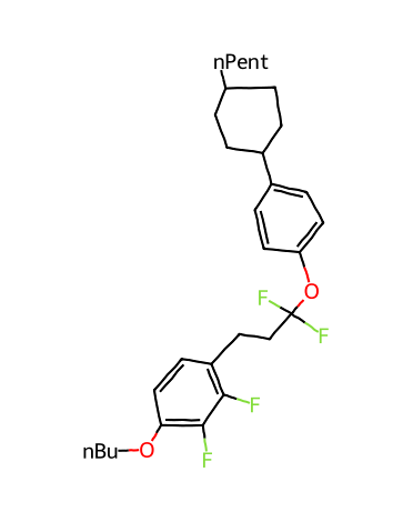 CCCCCC1CCC(c2ccc(OC(F)(F)CCc3ccc(OCCCC)c(F)c3F)cc2)CC1